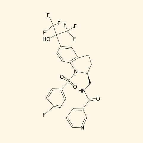 O=C(NC[C@@H]1CCc2cc(C(O)(C(F)(F)F)C(F)(F)F)ccc2N1S(=O)(=O)c1ccc(F)cc1)c1cccnc1